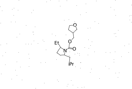 CCC1CCC(CC(C)C)N1C(=O)OCC1CCOC1